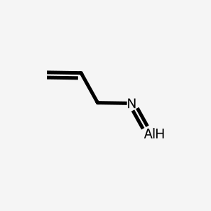 C=CC[N]=[AlH]